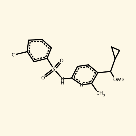 COC(c1ccc(NS(=O)(=O)c2cccc(Cl)c2)nc1C)C1CC1